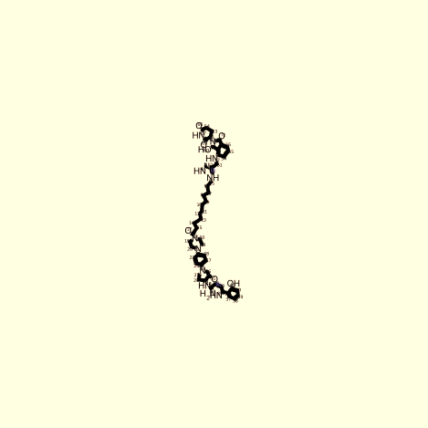 N=N/C(=C\NCCCCCCCCCCCC(=O)N1CCN(c2ccc(N3CCCC(O/C(=C/C(=N)c4ccccc4O)C(=N)N)C3)cc2)CC1)CNc1cccc2c1C(O)N(C1CCC(=O)NC1=O)C2=O